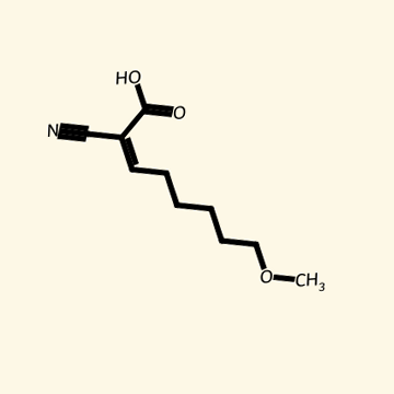 COCCCCCC=C(C#N)C(=O)O